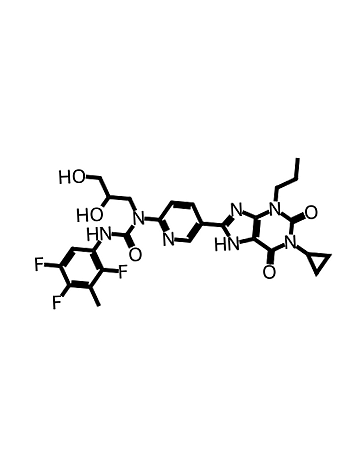 CCCn1c(=O)n(C2CC2)c(=O)c2[nH]c(-c3ccc(N(CC(O)CO)C(=O)Nc4cc(F)c(F)c(C)c4F)nc3)nc21